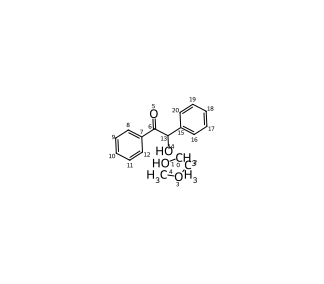 CO.COC.O=C(c1ccccc1)C(O)c1ccccc1